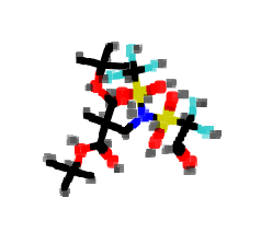 CC(C)(C)OC(=O)C(C)(CN(S(=O)(=O)C(F)(F)F)S(=O)(=O)C(F)(F)C=O)C(=O)OC(C)(C)C